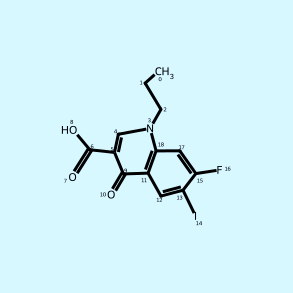 CCCn1cc(C(=O)O)c(=O)c2cc(I)c(F)cc21